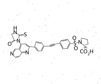 O=C(O)[C@H]1CCCN1S(=O)(=O)c1ccc(C#Cc2ccc(-c3cc(N4C(=O)CNC4=S)c4cnccc4n3)cc2)cc1